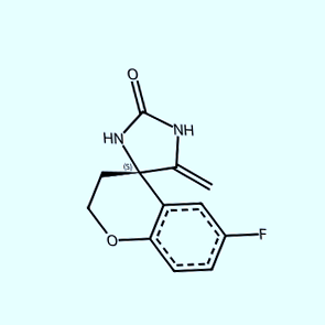 C=C1NC(=O)N[C@]12CCOc1ccc(F)cc12